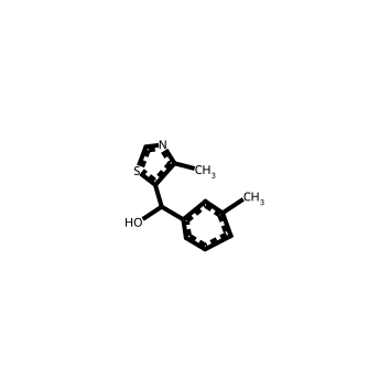 Cc1cccc(C(O)c2scnc2C)c1